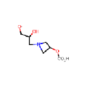 [O]CC(O)CN1CC(OC(=O)O)C1